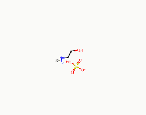 NCCO.O=S(=O)([O-])O.[K+]